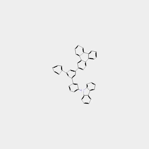 c1ccc(-c2cc(-c3cccc(-n4c5ccccc5c5ccccc54)c3)cc(-c3ccc4c5ccccc5c5ccccc5c4c3)c2)cc1